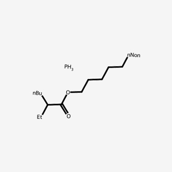 CCCCCCCCCCCCCCOC(=O)C(CC)CCCC.P